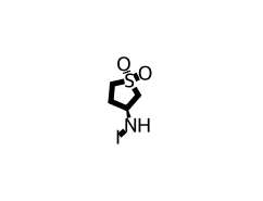 O=S1(=O)CC[C@H](NI)C1